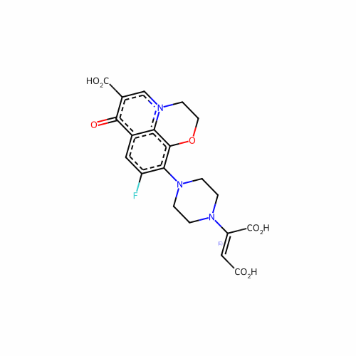 O=C(O)/C=C(\C(=O)O)N1CCN(c2c(F)cc3c(=O)c(C(=O)O)cn4c3c2OCC4)CC1